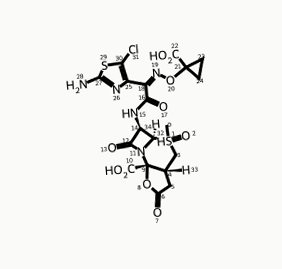 C[SH]1(=O)C[C@@H]2CC(=O)O[C@]2(C(=O)O)N2C(=O)[C@@H](NC(=O)/C(=N\OC3(C(=O)O)CC3)c3nc(N)sc3Cl)[C@H]21